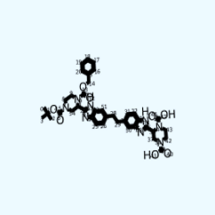 CC(C)(C)OC(=O)N1CCN(C(=O)OCc2ccccc2)C(c2nc3ccc(CCc4ccc5[nH]c(C6CN(C(=O)O)CCN6C(=O)O)nc5c4)cc3[nH]2)C1